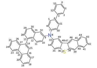 c1ccc(-c2ccc(N(c3ccc4c(-c5cc6ccccc6c6ccccc56)cccc4c3)c3ccc4sc5cc6ccccc6cc5c4c3)cc2)cc1